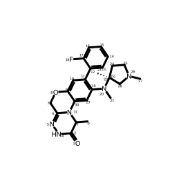 CC1C(=O)NN=C2COc3cc(-c4ccccc4F)c(N(C)[C@@]4(C)CCN(C)C4)cc3N21